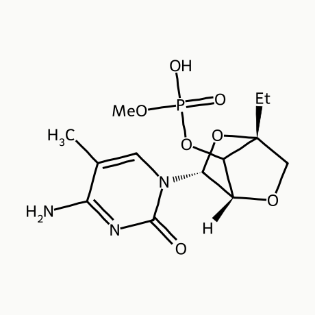 CC[C@@]12CO[C@@H](C1OP(=O)(O)OC)[C@H](n1cc(C)c(N)nc1=O)O2